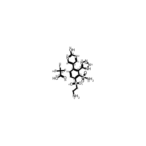 NCCS(=O)(=O)c1ccc(-c2cnc(O)nc2)c(-c2nnn[nH]2)c1S(N)(=O)=O.O=C(O)C(F)(F)F